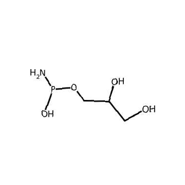 NP(O)OCC(O)CO